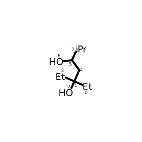 CCC(O)(CC)CC(O)C(C)C